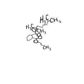 CCCCOC(=O)C1CCCCC1C(=O)OC(C)(C)CCCCC(C)C